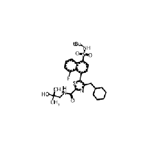 CC(C)(O)CNC(=O)c1nc(CC2CCCCC2)c(-c2ccc(S(=O)(=O)NC(C)(C)C)c3cccc(F)c23)s1